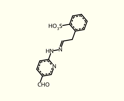 O=Cc1ccc(NN=CCc2ccccc2S(=O)(=O)O)nc1